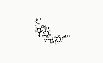 C#Cc1ccc(C2(F)CN(C(=O)c3ccc(C)c(-c4[nH]nc(OCCO)c4C)c3)C2)cc1